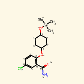 CC(C)(C)[Si](C)(C)OC1CCC(Oc2ccc(Cl)cc2C(N)=O)CC1